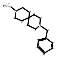 O=C(O)N1CCC2(CCN(Cc3ccccc3)CC2)CC1